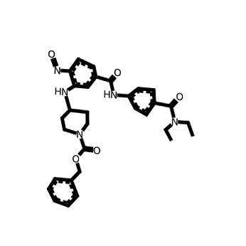 CCN(CC)C(=O)c1ccc(NC(=O)c2ccc(N=O)c(NC3CCN(C(=O)OCc4ccccc4)CC3)c2)cc1